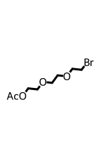 CC(=O)OCCOCCOCCBr